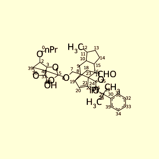 CCCOC1C2OC3(OCC45CC6C(C)CCC6C6(C=O)CC4C=C(C(C)C)C65C(=O)OC(C)(C)c4ccccc4)OC2OC1C3O